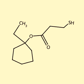 CCC1(OC(=O)CCS)CCCCC1